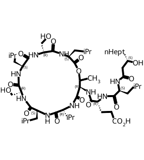 CCCCCCC[C@H](O)CC(=O)N[C@@H](CC(C)C)C(=O)N[C@H](CCC(=O)O)C(=O)N[C@H]1C(=O)N[C@H](C(C)C)C(=O)N[C@@H](CC(C)C)C(=O)N[C@H](CO)C(=O)N[C@@H](CC(C)C)C(=O)N[C@H](CO)C(=O)N[C@@H](CC(C)C)C(=O)OC1C